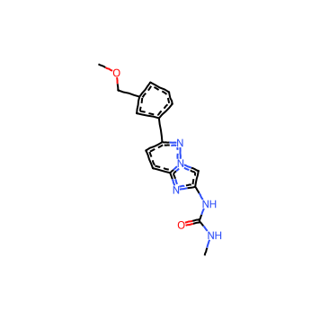 CNC(=O)Nc1cn2nc(-c3cccc(COC)c3)ccc2n1